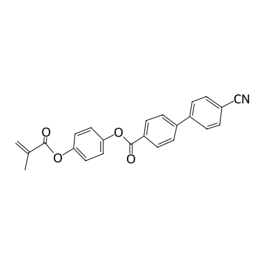 C=C(C)C(=O)Oc1ccc(OC(=O)c2ccc(-c3ccc(C#N)cc3)cc2)cc1